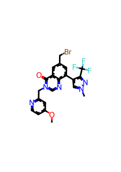 COc1ccnc(Cn2cnc3c(-c4cn(C)nc4C(F)(F)F)cc(CBr)cc3c2=O)c1